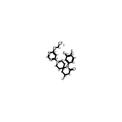 O=C1CC(F)CC2(CCN(c3cc(OCC(F)(F)F)ncn3)CC2)N1c1ccc(F)c(F)c1